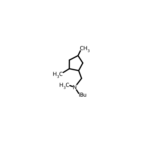 CCC(C)N(C)CC1CC(C)CC1C